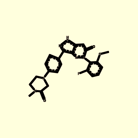 COc1cccc(F)c1-n1nc2c(-c3ccc(N4CCN(C)C(=O)C4)cc3)n[nH]c2cc1=O